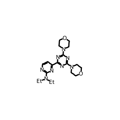 CCN(CC)c1nccc(-c2nc(N3CCOCC3)nc(N3CCOCC3)n2)n1